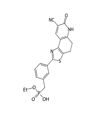 CCOP(=O)(O)Cc1cccc(-c2nc3c(s2)CCc2[nH]c(=O)c(C#N)cc2-3)c1